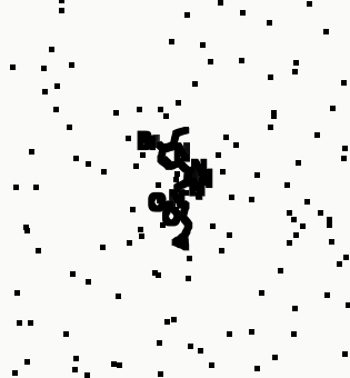 CCc1nc(-c2nnn(C)c2CN2CC(CC3CC3)OC2=O)ccc1Br